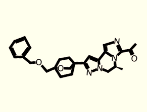 CC(=O)c1ncc2n1[C@@H](C)Cn1nc(C34CCC(COCc5ccccc5)(CC3)OC4)cc1-2